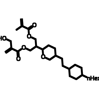 C=C(C)C(=O)OCC(COC(=O)C(=C)CO)C1CCC(CCC2CCC(CCCCCC)CC2)CO1